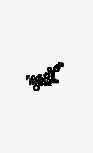 CCN1CCC(NC(=O)c2ccc(Nc3ncc(C(F)(F)F)c(N[C@H]4CCCC[C@@H]4NC(C)=O)n3)c(OC)c2)CC1